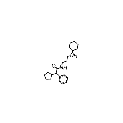 O=C(NCCCNC1CCCCC1)C(c1ccccc1)C1CCCC1